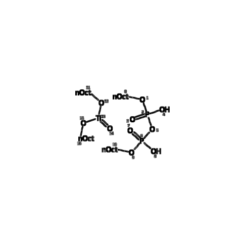 CCCCCCCCOP(=O)(O)OP(=O)(O)OCCCCCCCC.CCCCCCCC[O][Ti](=[O])[O]CCCCCCCC